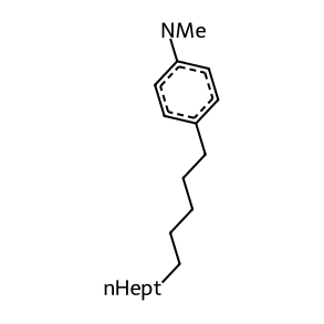 CCCCCCCCCCCCc1ccc(NC)cc1